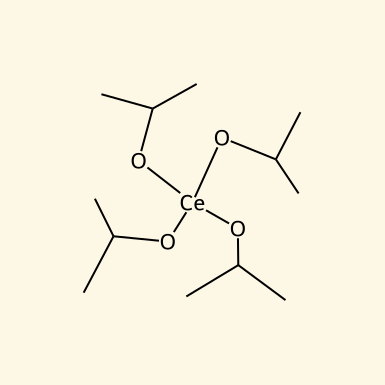 CC(C)[O][Ce]([O]C(C)C)([O]C(C)C)[O]C(C)C